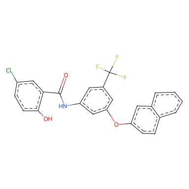 O=C(Nc1cc(Oc2ccc3ccccc3c2)cc(C(F)(F)F)c1)c1cc(Cl)ccc1O